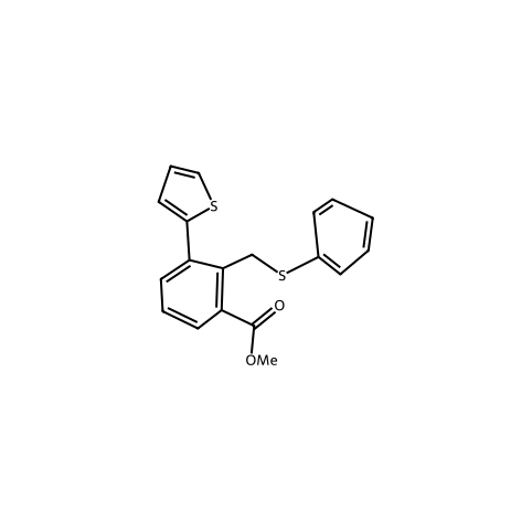 COC(=O)c1cccc(-c2cccs2)c1CSc1ccccc1